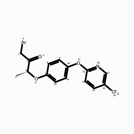 CC(=O)CC(=O)[C@@H](C)Oc1ccc(Oc2ccc(C(F)(F)F)cn2)cc1